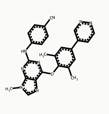 Cc1cc(-c2ccnnc2)cc(C)c1Oc1nc(Nc2ccc(C#N)cc2)nc2c1ncn2C